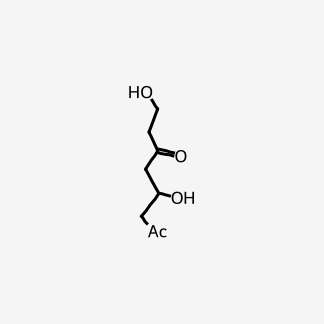 CC(=O)CC(O)CC(=O)CCO